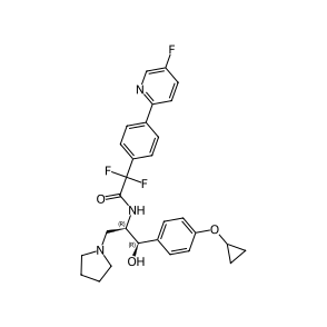 O=C(N[C@H](CN1CCCC1)[C@H](O)c1ccc(OC2CC2)cc1)C(F)(F)c1ccc(-c2ccc(F)cn2)cc1